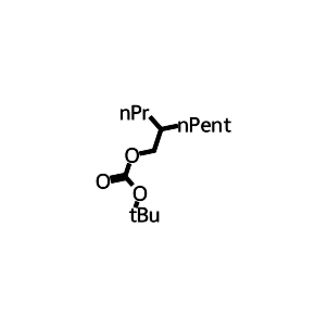 CCCCCC(CCC)COC(=O)OC(C)(C)C